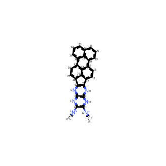 [C-]#[N+]c1nc2nc3c(nc2nc1[N+]#[C-])-c1ccc2c4cccc5cccc(c6ccc-3c1c62)c54